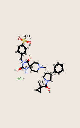 CC1(C(=O)N2C[C@H](CN3CCC4(CC3)NC(=O)N(Cc3ccc(S(C)(=O)=O)cc3)C4=O)[C@@H](c3ccccc3)C2)CC1.Cl